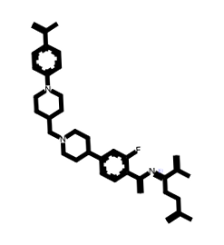 C=C(C)CC/C(=N\C(=C)c1ccc(C2CCN(CC3CCN(c4ccc(C(=C)C)cc4)CC3)CC2)cc1F)C(=C)C